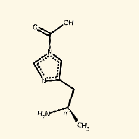 C[C@@H](N)Cc1cn(C(=O)O)cn1